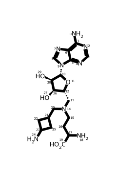 Nc1ncnc2c1ncn2[C@@H]1O[C@H](CN(CCC(N)C(=O)O)CC2CC(N)C2)[C@@H](O)[C@H]1O